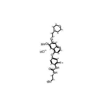 COc1cc2c(Oc3ccc(NC(=O)NCCC(C)(C)C)c(F)c3)ccnc2cc1OCCN1CCOCC1.Cl